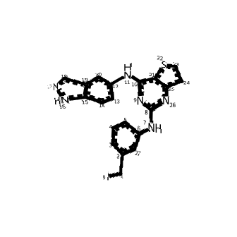 ICc1cccc(Nc2nc(Nc3ccc4[nH]ncc4c3)c3sccc3n2)c1